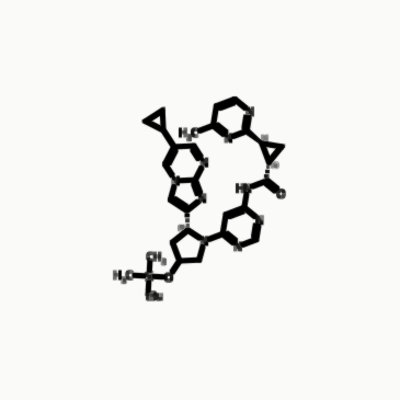 Cc1ccnc([C@H]2C[C@@H]2C(=O)Nc2cc(N3CC(O[Si](C)(C)C(C)(C)C)C[C@@H]3c3cn4cc(C5CC5)cnc4n3)ncn2)n1